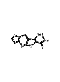 O=c1[nH]nnc2c1sc1nc3ccsc3cc12